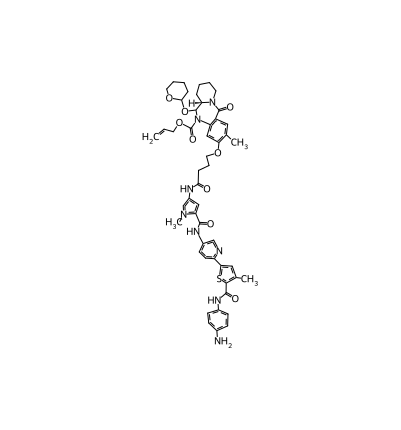 C=CCOC(=O)N1c2cc(OCCCC(=O)Nc3cc(C(=O)Nc4ccc(-c5cc(C)c(C(=O)Nc6ccc(N)cc6)s5)nc4)n(C)c3)c(C)cc2C(=O)N2CCCC[C@H]2C1OC1CCCCO1